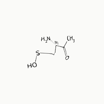 CC(=O)[C@@H](N)CSO